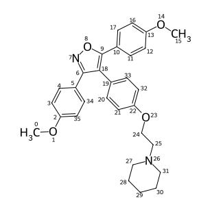 COc1ccc(-c2noc(-c3ccc(OC)cc3)c2-c2ccc(OCCN3CCCCC3)cc2)cc1